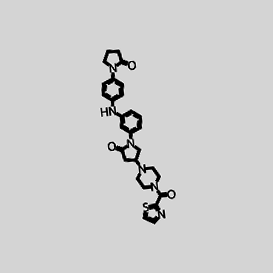 O=C(c1nccs1)N1CCN(C2CC(=O)N(c3cccc(Nc4ccc(N5CCCC5=O)cc4)c3)C2)CC1